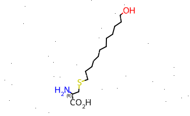 N[C@@H](CSCCCCCCCCCCCCO)C(=O)O